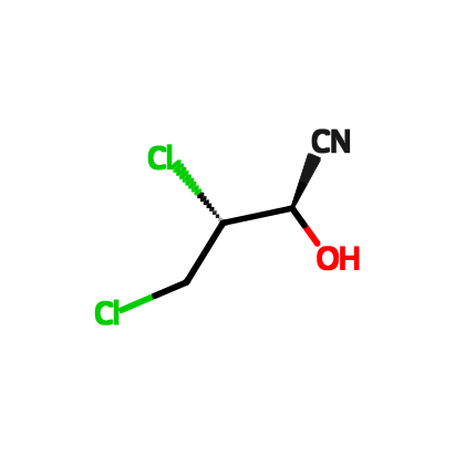 N#C[C@@H](O)[C@@H](Cl)CCl